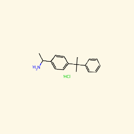 CC(N)c1ccc(C(C)(C)c2ccccc2)cc1.Cl